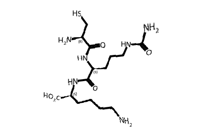 NCCCC[C@H](NC(=O)[C@H](CCCNC(N)=O)NC(=O)[C@@H](N)CS)C(=O)O